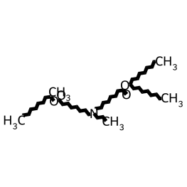 CCCCCCCCC(C)OC(=O)CCCCCCCN(CCC)CCCCCCCC(=O)OC(CCCCCCCC)CCCCCCCC